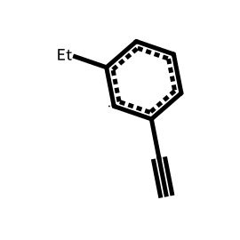 C#Cc1[c]c(CC)ccc1